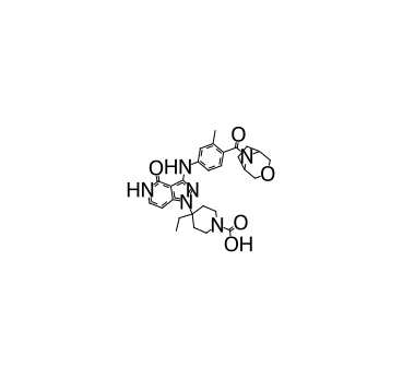 CCC1(n2nc(Nc3ccc(C(=O)N4C5CCC4COC5)c(C)c3)c3c(=O)[nH]ccc32)CCN(C(=O)O)CC1